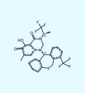 Cc1cn2c(c(O)c1=O)C(=O)N([C@H](C)C(F)(F)F)CN2[C@@H]1c2ccccc2SCc2c1cccc2C(F)(F)F